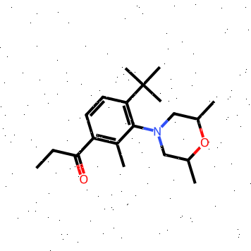 CCC(=O)c1ccc(C(C)(C)C)c(N2CC(C)OC(C)C2)c1C